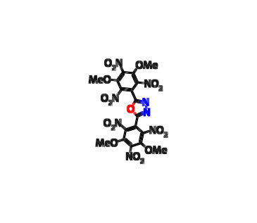 COc1c([N+](=O)[O-])c(OC)c([N+](=O)[O-])c(-c2nnc(-c3c([N+](=O)[O-])c(OC)c([N+](=O)[O-])c(OC)c3[N+](=O)[O-])o2)c1[N+](=O)[O-]